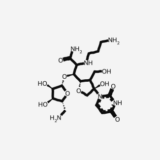 NCCCNC(C(N)=O)[C@H](O[C@@H]1O[C@H](CN)[C@@H](O)[C@H]1O)[C@H]1OC[C@@](O)(n2ccc(=O)[nH]c2=O)C1CO